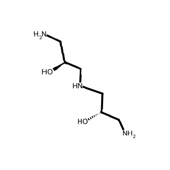 NC[C@H](O)CNC[C@@H](O)CN